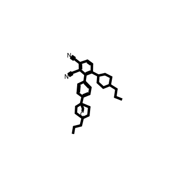 CCCC1CCC(c2ccc(C#N)c(C#N)c2-c2ccc(C34CCC(CCC)(CC3)CC4)cc2)CC1